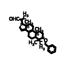 C[C@H](C=O)[C@H]1CC=C2C3=C(CC[C@@]21C)[C@@]1(C)CC[C@H](OCc2ccccc2)C(C)(C)C1CC3